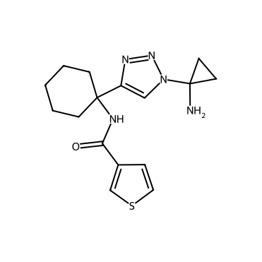 NC1(n2cc(C3(NC(=O)c4ccsc4)CCCCC3)nn2)CC1